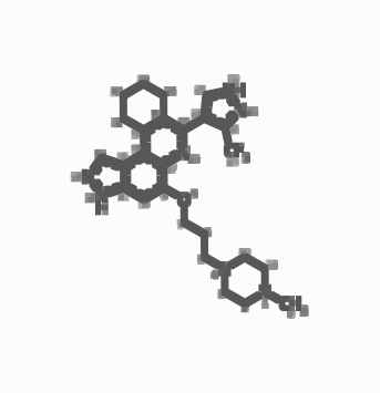 CN1CCN(CCCOc2cc3[nH]ncc3c3c4c(c(-c5c[nH]nc5C(F)(F)F)nc23)CCCC4)CC1